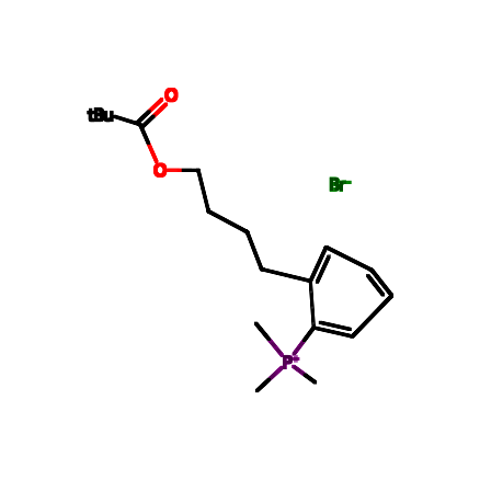 CC(C)(C)C(=O)OCCCCc1ccccc1[P+](C)(C)C.[Br-]